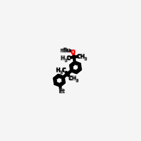 CCCCOC(C)(C)c1cccc(C(C)(C)c2cccc(CC)c2)c1